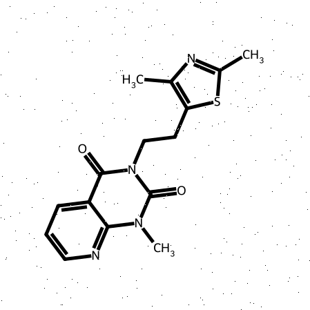 Cc1nc(C)c(CCn2c(=O)c3cccnc3n(C)c2=O)s1